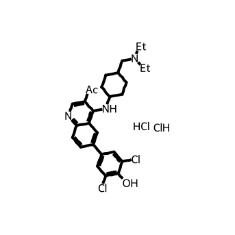 CCN(CC)CC1CCC(Nc2c(C(C)=O)cnc3ccc(-c4cc(Cl)c(O)c(Cl)c4)cc23)CC1.Cl.Cl